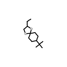 CCC1COC2(CCC(C(C)(C)C)CC2)O1